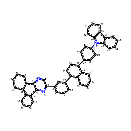 c1cc(-c2cnc3c4ccccc4c4ccccc4c3n2)cc(-c2ccc(-c3ccc(-n4c5ccccc5c5ccccc54)cc3)c3ccccc23)c1